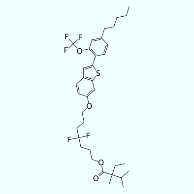 CCCCCc1ccc(-c2cc3ccc(OCCCC(F)(F)CCCOC(=O)C(C)(CC)C(C)C)cc3s2)c(OC(F)(F)F)c1